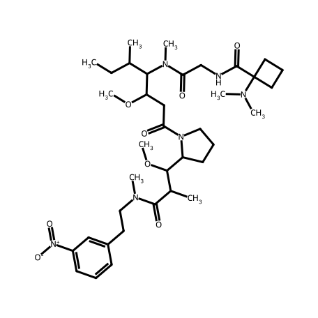 CCC(C)C(C(CC(=O)N1CCCC1C(OC)C(C)C(=O)N(C)CCc1cccc([N+](=O)[O-])c1)OC)N(C)C(=O)CNC(=O)C1(N(C)C)CCC1